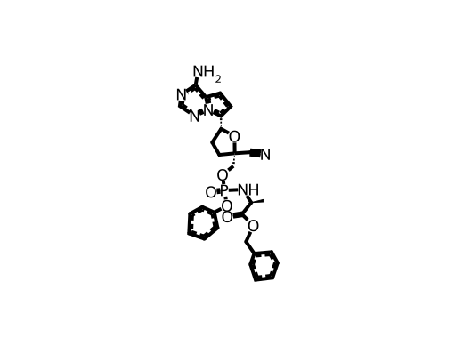 C[C@H](NP(=O)(OC[C@]1(C#N)CC[C@H](c2ccc3c(N)ncnn23)O1)Oc1ccccc1)C(=O)OCc1ccccc1